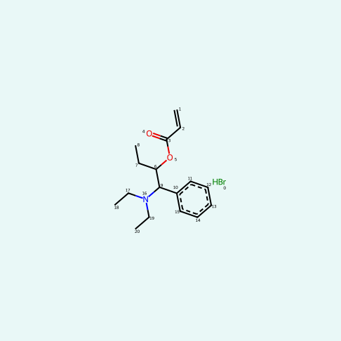 Br.C=CC(=O)OC(CC)C(c1ccccc1)N(CC)CC